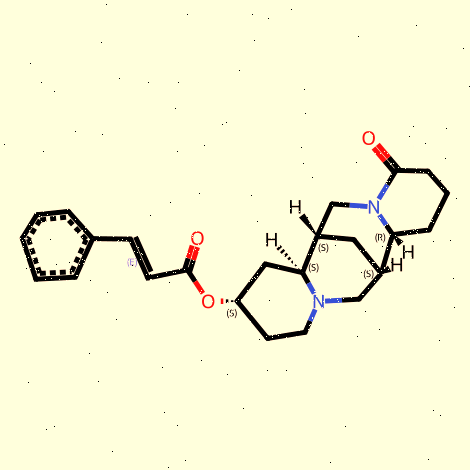 O=C(/C=C/c1ccccc1)O[C@H]1CCN2C[C@@H]3C[C@@H](CN4C(=O)CCC[C@H]34)[C@@H]2C1